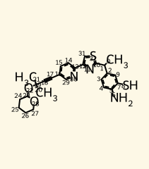 CC(c1ccc(N)c(S)c1)c1nc(-c2ccc(C#CC(C)(C)OC3CCCCO3)cn2)cs1